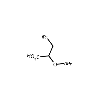 CCCOC(CC(C)C)C(=O)O